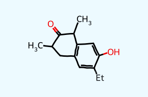 CCc1cc2c(cc1O)C(C)C(=O)C(C)C2